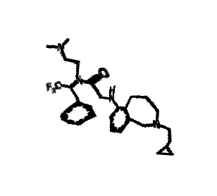 CN(C)CCN(C(=O)CNc1cccc2c1CCCN(CC1CC1)C2)C(c1ccccc1)C(F)(F)F